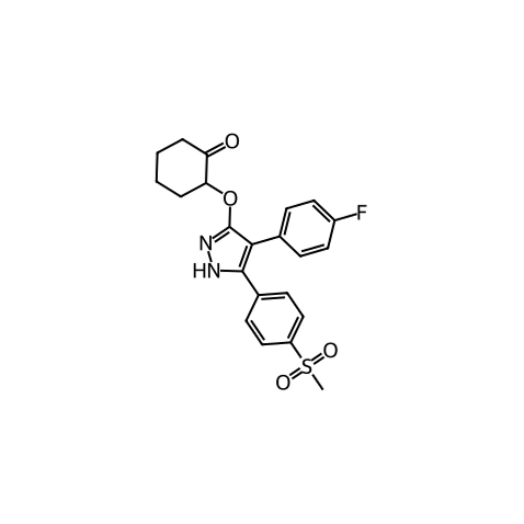 CS(=O)(=O)c1ccc(-c2[nH]nc(OC3CCCCC3=O)c2-c2ccc(F)cc2)cc1